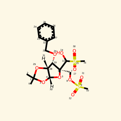 CC1(C)O[C@H]2O[C@](COS(C)(=O)=O)(C(O)S(C)(=O)=O)[C@@H](OCc3ccccc3)[C@H]2O1